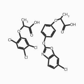 CC(Oc1cc(Cl)c(Cl)cc1Cl)C(=O)O.CC(Oc1ccc(Oc2nc3ccc(Cl)cc3o2)cc1)C(=O)O